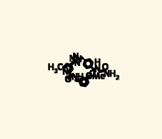 COc1cccc(CNC(=O)c2cc(-c3nnn(C[C@H]4CC[C@H](C(=O)NCC(N)=O)CC4)n3)cc(C)n2)c1